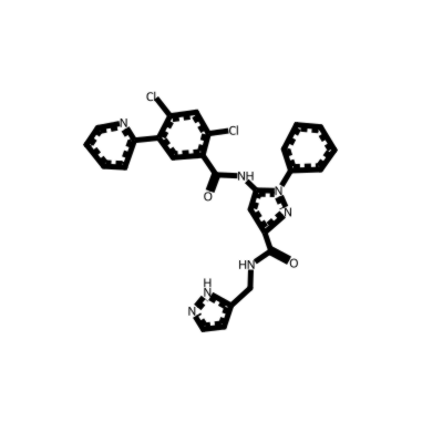 O=C(NCc1ccn[nH]1)c1cc(NC(=O)c2cc(-c3ccccn3)c(Cl)cc2Cl)n(-c2ccccc2)n1